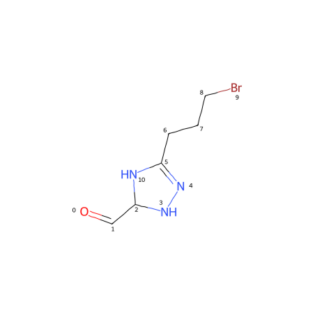 O=CC1NN=C(CCCBr)N1